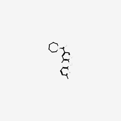 Cc1cccc(Nc2ncc(C(=O)N3CCCCCC3)cc2Cl)n1